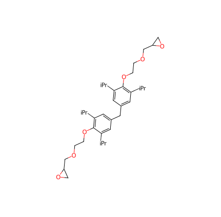 CC(C)c1cc(Cc2cc(C(C)C)c(OCCOCC3CO3)c(C(C)C)c2)cc(C(C)C)c1OCCOCC1CO1